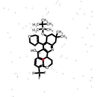 CC1(C)Cc2nc(C3CCOCC3)c([C@@H](O)c3ccc(C(F)(F)F)nc3)c(C3=CCOCC3)c2C(O[Si](C)(C)C(C)(C)C)C1